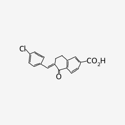 O=C(O)c1ccc2c(c1)CCC(=Cc1ccc(Cl)cc1)C2=O